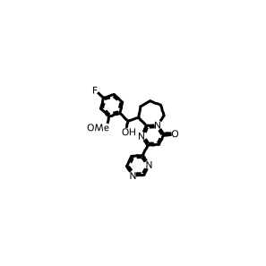 COc1cc(F)ccc1C(O)C1CCCCn2c1nc(-c1ccncn1)cc2=O